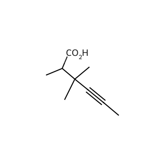 CC#CC(C)(C)C(C)C(=O)O